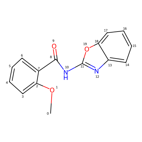 COc1ccccc1C(=O)Nc1nc2ccccc2o1